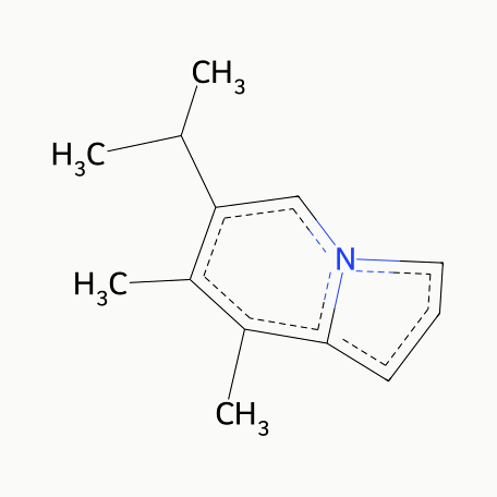 Cc1c(C(C)C)cn2cccc2c1C